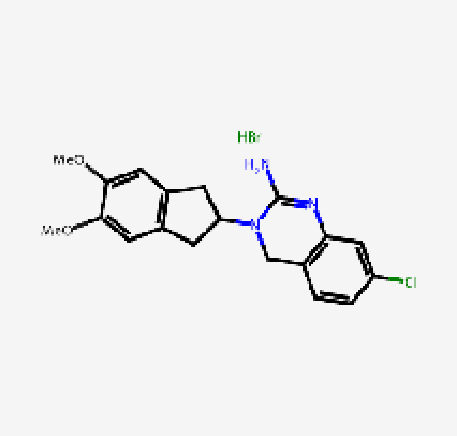 Br.COc1cc2c(cc1OC)CC(N1Cc3ccc(Cl)cc3N=C1N)C2